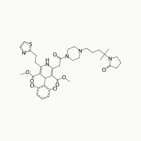 COC(=O)C1=C(CCc2nccs2)NC(CC(=O)N2CCN(CCCC(C)(C)N3CCCC3=O)CC2)=C(C(=O)OC)C1c1c(Cl)cccc1Cl